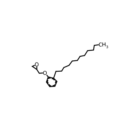 CCCCCCCCCCCCc1ccccc1OCC1CO1